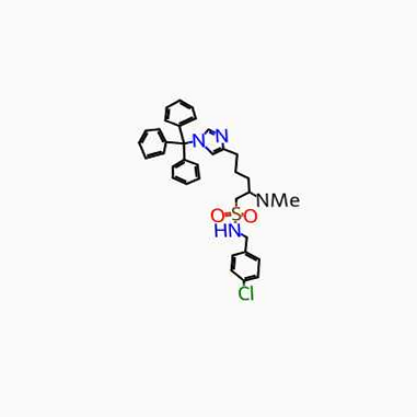 CNC(CCCc1cn(C(c2ccccc2)(c2ccccc2)c2ccccc2)cn1)CS(=O)(=O)NCc1ccc(Cl)cc1